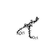 CCCCCCCC/C=C\CCCCCCCC(=O)OCC(CNC(=S)OCCN1CCCC1)OC(=O)CCCCCCC/C=C\CCCCCCCC